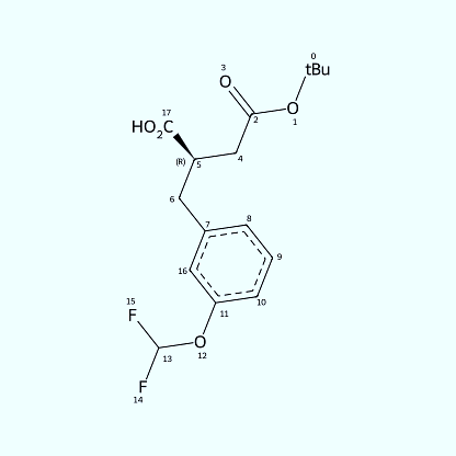 CC(C)(C)OC(=O)C[C@@H](Cc1cccc(OC(F)F)c1)C(=O)O